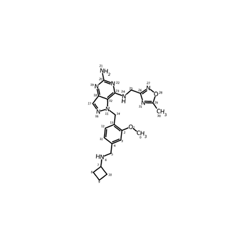 COc1cc(CNC2CCC2)ccc1Cn1ncc2nc(N)nc(NCc3noc(C)n3)c21